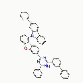 c1ccc(-c2cccc(C3=NC(c4ccc5c(c4)oc4cccc(-n6c7ccccc7c7ccc(-c8ccccc8)cc76)c45)=NC(c4ccccc4)N3)c2)cc1